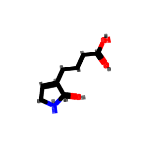 O=C(O)CCCC1=CCNC1=O